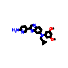 COc1cc(OC)cc(N(CC2CC2)c2ccc3ncc(-c4ccc(N)nc4)nc3c2)c1